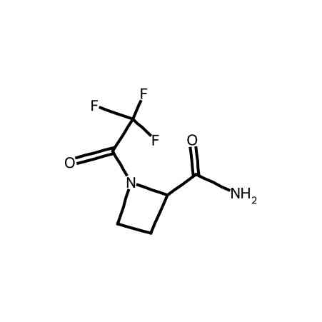 NC(=O)C1CCN1C(=O)C(F)(F)F